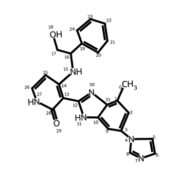 Cc1cc(-n2ccnc2)cc2[nH]c(-c3c(NC(CO)c4ccccc4)cc[nH]c3=O)nc12